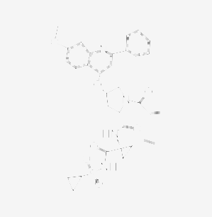 C=CC(=O)N1C[C@H](Oc2cc(-c3ccccc3)nc3cc(OC)ccc23)C[C@H]1C(=O)N[C@]1(C(=O)NS(=O)(=O)C2CC2)C[C@H]1C=C